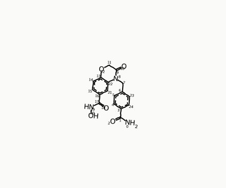 NC(=O)c1ccc(CN2C(=O)COc3ccc(C(=O)NO)cc32)cc1